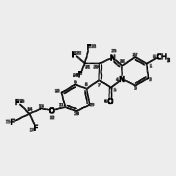 Cc1ccn2c(=O)c(-c3ccc(OCC(F)(F)F)cc3)c(C(F)(F)F)nc2c1